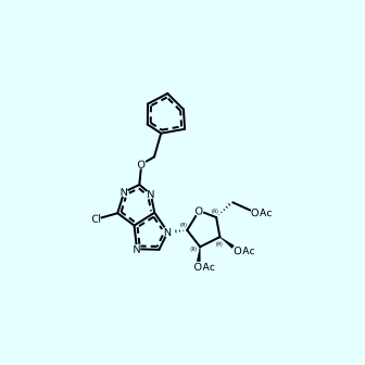 CC(=O)OC[C@H]1O[C@@H](n2cnc3c(Cl)nc(OCc4ccccc4)nc32)[C@H](OC(C)=O)[C@@H]1OC(C)=O